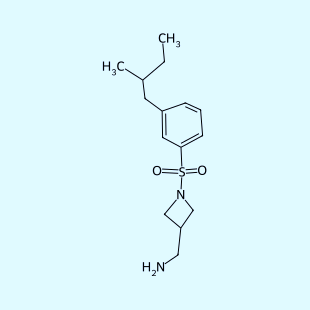 CCC(C)Cc1cccc(S(=O)(=O)N2CC(CN)C2)c1